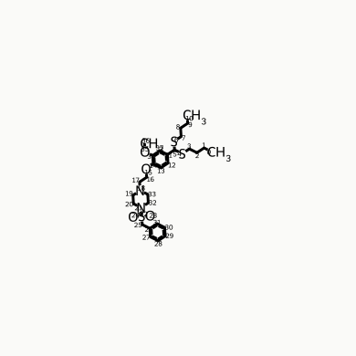 CCCCSC(SCCCC)c1ccc(OCCN2CCN(S(=O)(=O)Cc3ccccc3)CC2)c(OC)c1